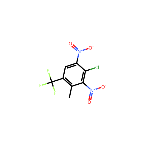 Cc1c(C(F)(F)F)cc([N+](=O)[O-])c(Cl)c1[N+](=O)[O-]